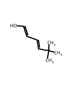 CC(C)(C)C=CC=CO